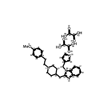 COc1ccc(CCN2CCC(Cc3nc4ccccc4n3Cc3ccsc3)CC2)cc1.O=C(O)C(=O)O.O=C(O)C(=O)O